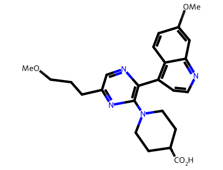 COCCCc1cnc(-c2ccnc3cc(OC)ccc23)c(N2CCC(C(=O)O)CC2)n1